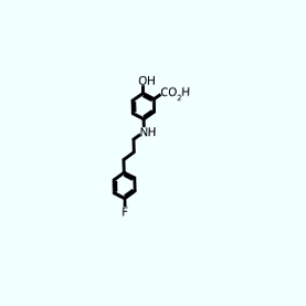 O=C(O)c1cc(NCCCc2ccc(F)cc2)ccc1O